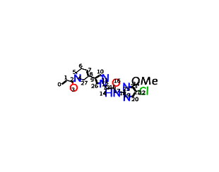 C=CC(=O)N1CCC=C(c2cnn(C(C)C(=O)Nc3ncc(Cl)c(OC)n3)c2)C1